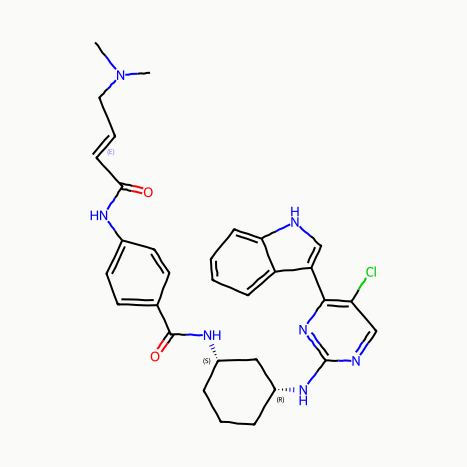 CN(C)C/C=C/C(=O)Nc1ccc(C(=O)N[C@H]2CCC[C@@H](Nc3ncc(Cl)c(-c4c[nH]c5ccccc45)n3)C2)cc1